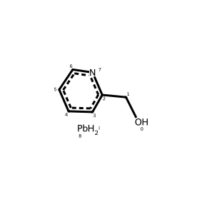 OCc1ccccn1.[PbH2]